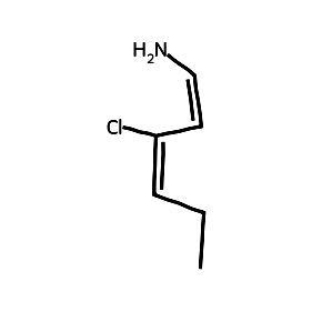 CC/C=C(Cl)\C=C/N